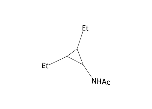 CCC1C(CC)C1NC(C)=O